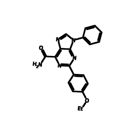 CCOc1ccc(-c2nc(C(N)=O)c3ncn(-c4ccccc4)c3n2)cc1